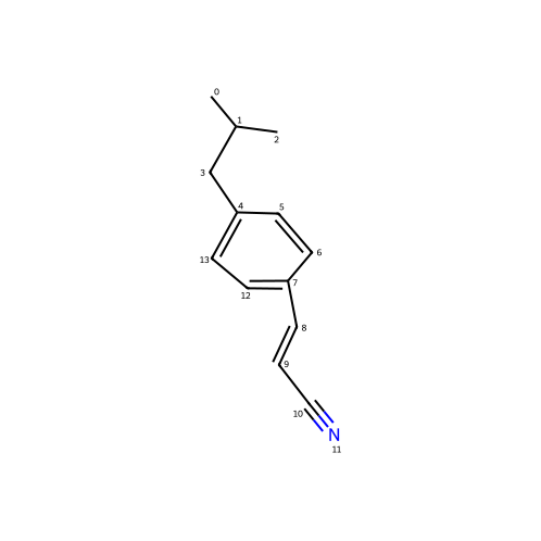 CC(C)Cc1ccc(C=CC#N)cc1